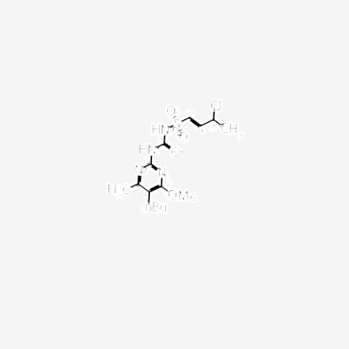 CCCCc1c(C)nc(NC(=O)NS(=O)(=O)C=CC(C)Cl)nc1OC